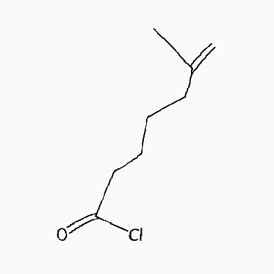 C=C(C)CCCCC(=O)Cl